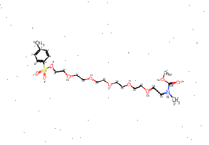 Cc1ccc(S(=O)(=O)OCCOCCOCCOCCOCCOCCN(C)C(=O)OC(C)(C)C)cc1